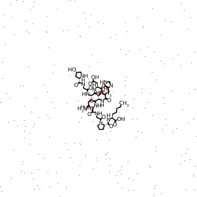 CCCCC[C@H](NC(=O)[C@@H]1CCCN1C(=O)CNC(=O)[C@H](C)NC(=O)[C@H](CC(C)C)NC(=O)[C@H](Cc1c[nH]cn1)NC(=O)[C@H](CC(=O)O)NC(=O)[C@H](CCC(N)=O)NC(=O)CNC(=O)[C@@H]1C[C@@H](O)CN1)C(=O)O